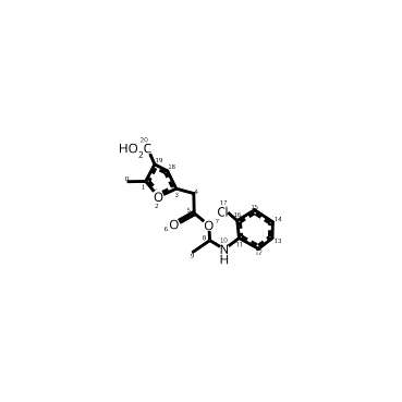 Cc1oc(CC(=O)OC(C)Nc2ccccc2Cl)cc1C(=O)O